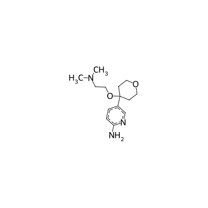 CN(C)CCOC1(c2ccc(N)nc2)CCOCC1